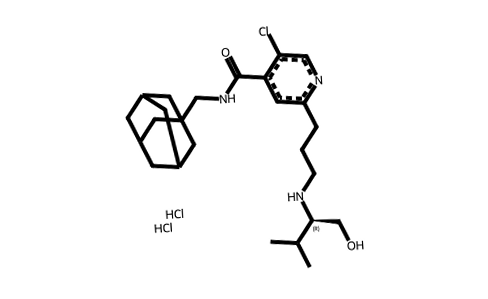 CC(C)[C@H](CO)NCCCc1cc(C(=O)NCC23CC4CC(CC(C4)C2)C3)c(Cl)cn1.Cl.Cl